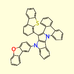 c1ccc2c(c1)oc1ccc(-n3c4ccccc4c4c3c(-c3cccc5c3sc3ccccc35)c3c5ccccc5c5ccccc5n34)cc12